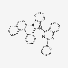 c1ccc(-c2nc(-n3c4ccccc4c4c5ccc6ccccc6c5c5ccccc5c43)c3ccccc3n2)cc1